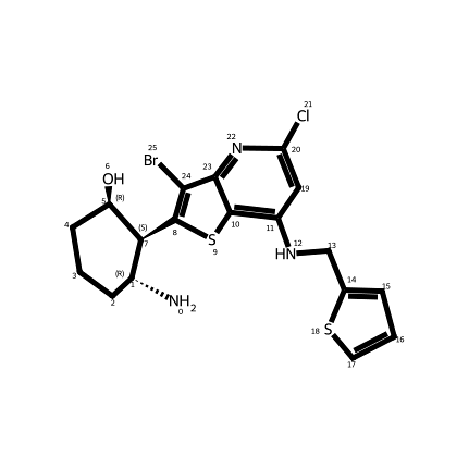 N[C@@H]1CCC[C@@H](O)[C@H]1c1sc2c(NCc3cccs3)cc(Cl)nc2c1Br